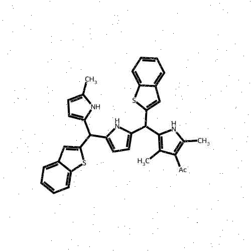 CC(=O)c1c(C)[nH]c(C(c2ccc(C(c3ccc(C)[nH]3)c3cc4ccccc4s3)[nH]2)c2cc3ccccc3s2)c1C